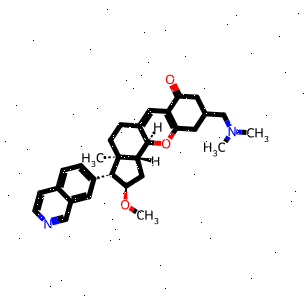 CO[C@@H]1C[C@H]2[C@@H]3OC4=C(C=C3CC[C@]2(C)[C@H]1c1ccc2ccncc2c1)C(=O)CC(CN(C)C)C4